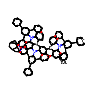 CC(C)(C)c1cc2c3c(c1)N(c1c(-c4ccccc4)cc(-c4ccccc4)cc1-c1ccccc1)c1ccccc1B3c1cc3c(cc1O2)N(c1c(-c2ccccc2)cc(-c2ccccc2)cc1-c1ccccc1)c1cc(N2C4CC5CC(C4)CC2C5)cc2c1B3c1ccccc1N2c1c(-c2ccccc2)cc(-c2ccccc2)cc1-c1ccccc1